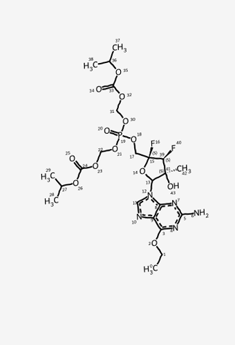 CCOc1nc(N)nc2c1ncn2C1O[C@](F)(COP(=O)(OCOC(=O)OC(C)C)OCOC(=O)OC(C)C)[C@@H](F)[C@@]1(C)O